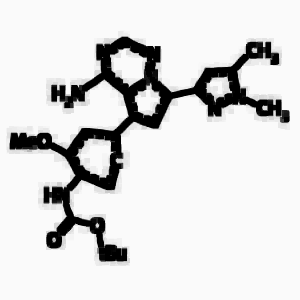 COc1cc(-c2cc(-c3cc(C)n(C)n3)n3ncnc(N)c23)ccc1NC(=O)OC(C)(C)C